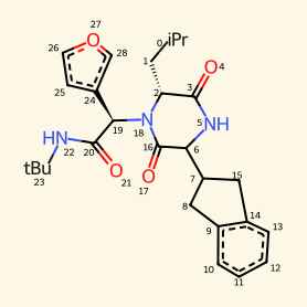 CC(C)C[C@@H]1C(=O)NC(C2Cc3ccccc3C2)C(=O)N1[C@@H](C(=O)NC(C)(C)C)c1ccoc1